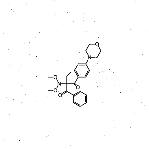 CCC(C(=O)c1ccccc1)(C(=O)c1ccc(N2CCOCC2)cc1)N(OC)OC